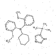 CC(C)(C)c1cnc[nH]1.COc1ccccc1B(c1ccccc1SC)C1CCCCC1